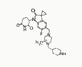 C[C@H]1CN(Cc2cc3c(cc2F)N(C2CCC(=O)NC2=O)C(=O)C32CC2)CCN1CC1CCNCC1